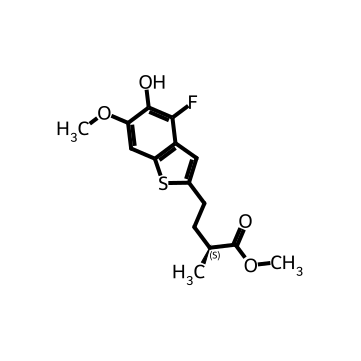 COC(=O)[C@@H](C)CCc1cc2c(F)c(O)c(OC)cc2s1